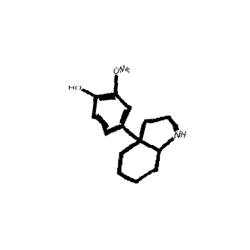 COc1cc(C23CCCCC2NCC3)ccc1O